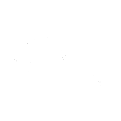 NC(=O)c1cccc(CNS(=O)(=O)c2cc(N)cc(N)c2)c1